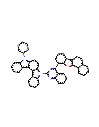 c1ccc(-n2c3ccccc3c3c4c5ccccc5n(-c5nc(-c6cccc7c6oc6c8ccccc8ccc76)c6ccccc6n5)c4ccc32)cc1